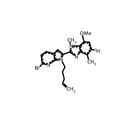 [2H]c1cc(OC)c2c(nc(-c3cc4ccc(Br)nc4n3CCCC=C)n2C)c1C